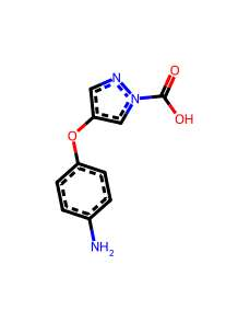 Nc1ccc(Oc2cnn(C(=O)O)c2)cc1